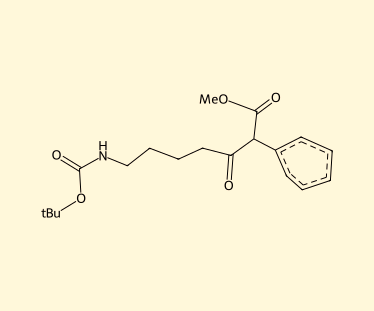 COC(=O)C(C(=O)CCCCNC(=O)OC(C)(C)C)c1ccccc1